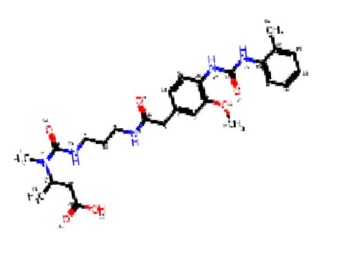 COc1cc(CC(=O)NCCCNC(=O)N(C)C(C)CC(=O)O)ccc1NC(=O)Nc1ccccc1C